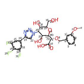 COc1cccc(CO[C@H](C(=O)O)[C@@H]2OC(CO)[C@H](O)C(n3cc(-c4cc(F)c(F)c(F)c4)nn3)C2O)c1